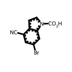 N#Cc1cc(Br)cc2c1ccn2C(=O)O